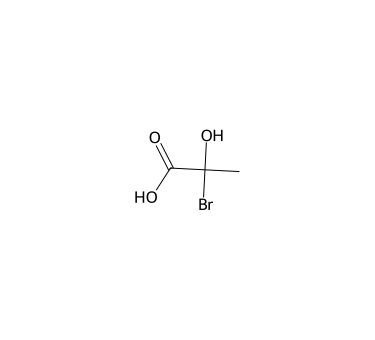 CC(O)(Br)C(=O)O